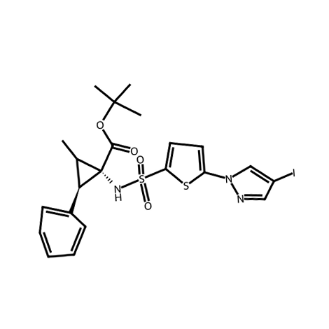 CC1[C@H](c2ccccc2)[C@]1(NS(=O)(=O)c1ccc(-n2cc(I)cn2)s1)C(=O)OC(C)(C)C